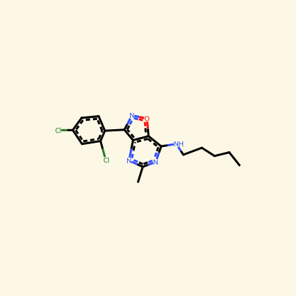 CCCCCNc1nc(C)nc2c(-c3ccc(Cl)cc3Cl)noc12